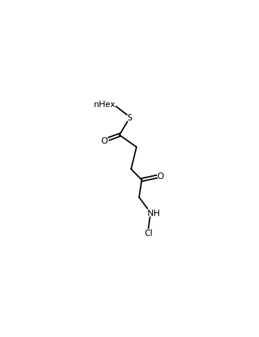 CCCCCCSC(=O)CCC(=O)CNCl